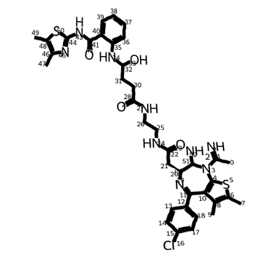 CC(=N)N1c2sc(C)c(C)c2C(c2ccc(Cl)cc2)=N[C@@H](CC(=O)NCCNC(=O)CCC(O)Nc2ccccc2C(=O)Nc2nc(C)c(C)s2)C1N